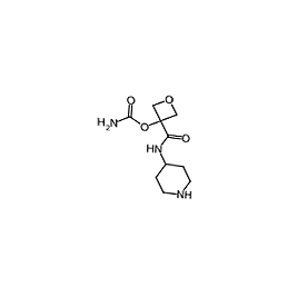 NC(=O)OC1(C(=O)NC2CCNCC2)COC1